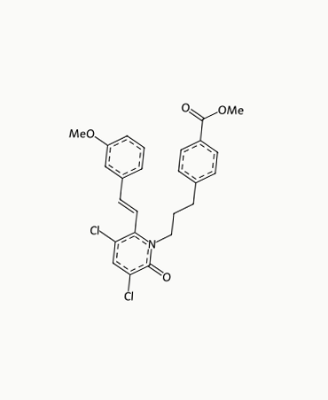 COC(=O)c1ccc(CCCn2c(C=Cc3cccc(OC)c3)c(Cl)cc(Cl)c2=O)cc1